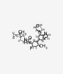 Cc1cc(F)c(NC(=O)N2CCC(C(C)C3CC3)C2)cc1-c1cc(N2CCOCC2)c2nccn2c1